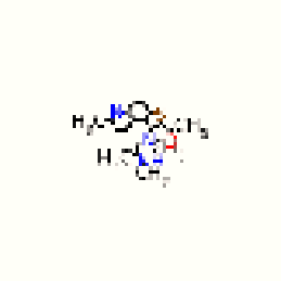 CNC(C)CN(C)c1c(C(C)=O)sc2ccc3nc(C)ccc3c12